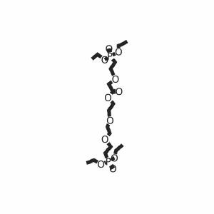 CCOP(=O)(CCOCCOCCOC(=O)COCCP(=O)(OCC)OCC)OCC